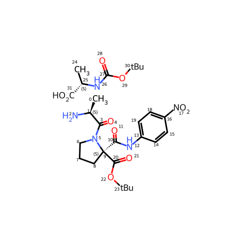 C[C@H](N)C(=O)N1CCC[C@]1(C(=O)Nc1ccc([N+](=O)[O-])cc1)C(=O)OC(C)(C)C.C[C@H](NC(=O)OC(C)(C)C)C(=O)O